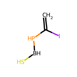 C=C(I)PBS